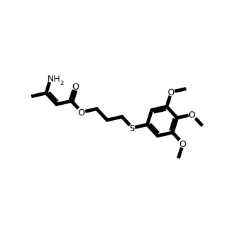 COc1cc(SCCCOC(=O)C=C(C)N)cc(OC)c1OC